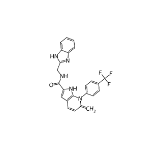 C=C1C=Cc2cc(C(=O)NCc3nc4ccccc4[nH]3)[nH]c2N1c1ccc(C(F)(F)F)cc1